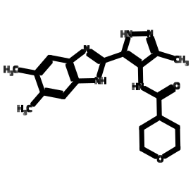 Cc1cc2nc(-c3[nH]nc(C)c3NC(=O)C3CCOCC3)[nH]c2cc1C